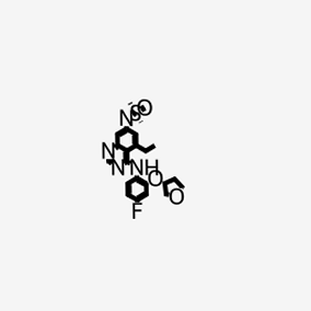 CCc1cc(N=S(C)(C)=O)cc2ncnc(Nc3ccc(F)cc3O[C@H]3CCOC3)c12